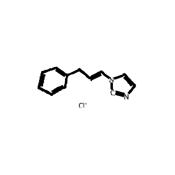 [C+]1=NC=CN1C=CCc1ccccc1.[Cl-]